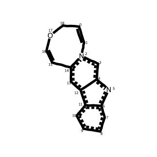 C1=Cn2cc3nc4ccccc4c-3cc2C=COC1